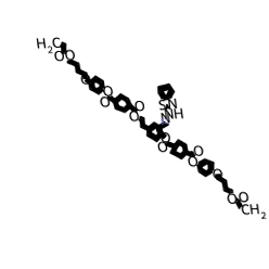 C=CC(=O)OCCCCOc1ccc(OC(=O)C2CCC(C(=O)OCCc3ccc(OC(=O)C4CCC(C(=O)Oc5ccc(OCCCCOC(=O)C=C)cc5)CC4)c(/C=N/Nc4nc5ccccc5s4)c3)CC2)cc1